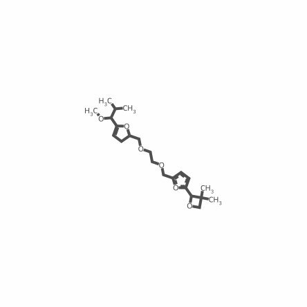 COC(C1=CCC(COCCOCc2ccc(C3OCC3(C)C)o2)O1)C(C)C